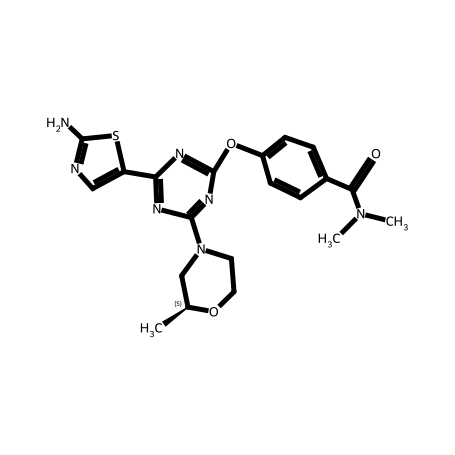 C[C@H]1CN(c2nc(Oc3ccc(C(=O)N(C)C)cc3)nc(-c3cnc(N)s3)n2)CCO1